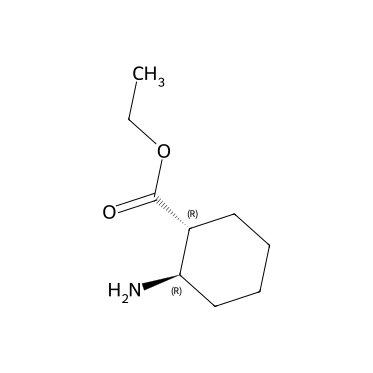 CCOC(=O)[C@@H]1CCCC[C@H]1N